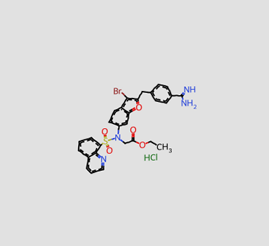 CCOC(=O)CN(c1ccc2c(Br)c(Cc3ccc(C(=N)N)cc3)oc2c1)S(=O)(=O)c1cccc2cccnc12.Cl